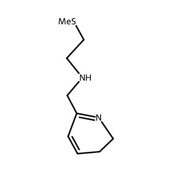 CSCCNCC1=NCCC=C1